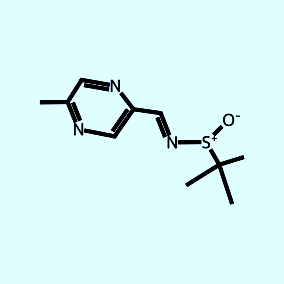 Cc1cnc(C=N[S+]([O-])C(C)(C)C)cn1